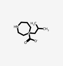 CC(C)C[N+]1(C(=O)[O-])CCCNCC1